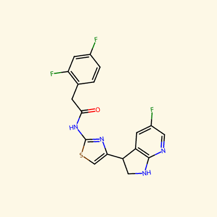 O=C(Cc1ccc(F)cc1F)Nc1nc(C2CNc3ncc(F)cc32)cs1